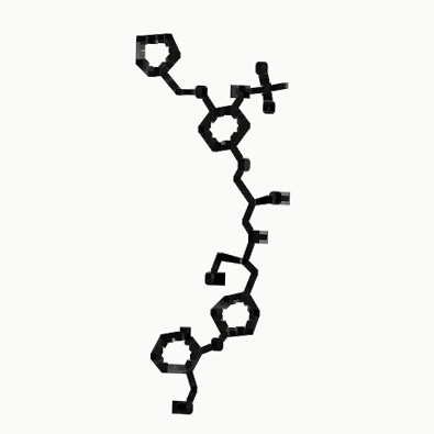 CS(=O)(=O)Nc1cc(OC[C@@H](O)CN[C@H](CO)Cc2ccc(Oc3ncccc3CO)cc2)ccc1OCc1ccccc1